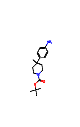 CC(C)(C)OC(=O)N1CCC(C)(c2ccc(N)cc2)CC1